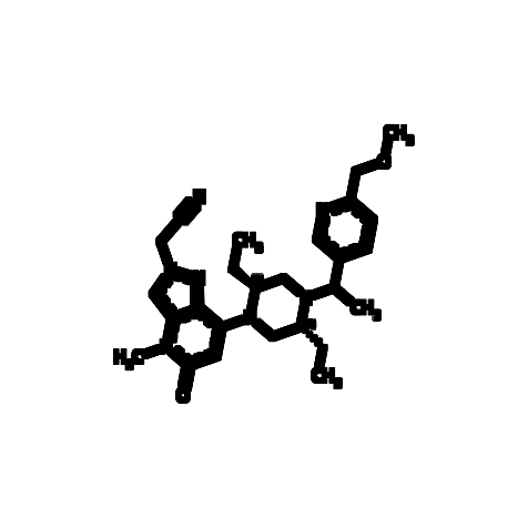 CC[C@H]1CN(C(C)c2ccc(COC)nc2)[C@H](CC)CN1c1cc(=O)n(C)c2cn(CC#N)nc12